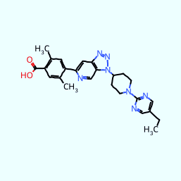 CCc1cnc(N2CCC(n3nnc4cc(-c5cc(C)c(C(=O)O)cc5C)ncc43)CC2)nc1